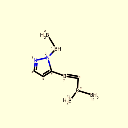 BBn1nccc1/B=C\B(B)B